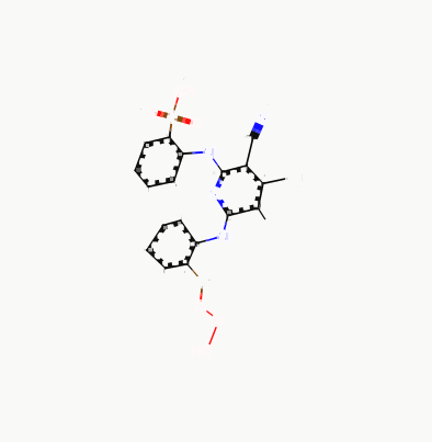 Cc1c(Nc2ccccc2SOOO)nc(Nc2ccccc2S(=O)(=O)O)c(C#N)c1C